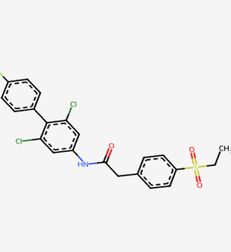 CCS(=O)(=O)c1ccc(CC(=O)Nc2cc(Cl)c(-c3ccc(F)cc3)c(Cl)c2)cc1